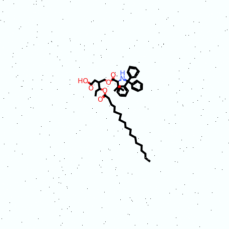 CCCCCCCCCCCCCCCCCC(=O)OC(CC)C(COC(=O)[C@@H](NC(c1ccccc1)(c1ccccc1)c1ccccc1)C(C)C)CC(=O)O